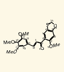 COc1cc2c(cc1C(=O)C=Cc1cc(OC)c(OC)c(OC)c1)SCO2